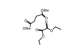 CCOC(=O)C(=O)OCC.COC(=O)CCC(=O)OC